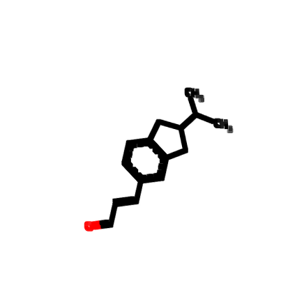 CC(C)C1Cc2ccc(C=CC=O)cc2C1